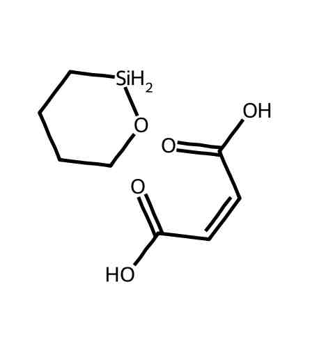 C1CC[SiH2]OC1.O=C(O)/C=C\C(=O)O